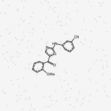 COc1ccccc1C(=O)c1cnc(Nc2cccc(C#N)c2)s1